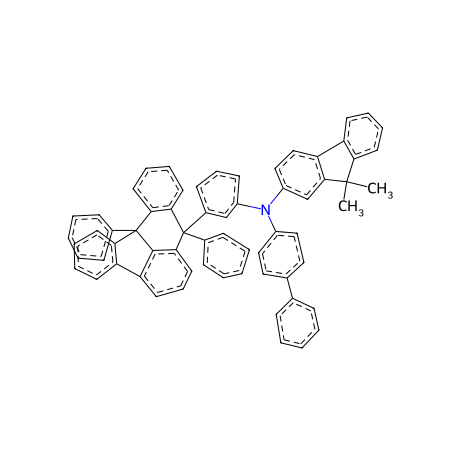 CC1(C)c2ccccc2-c2ccc(N(c3ccc(-c4ccccc4)cc3)c3cccc(C4(c5ccccc5)c5ccccc5C5(c6ccccc6)c6ccccc6-c6cccc4c65)c3)cc21